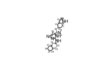 CN(C)C(Cc1ccc2[nH]ncc2c1)C1(NC(=NC#N)NC2CCc3ccccc3C2)CC1